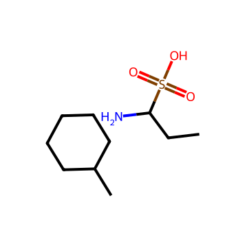 CC1CCCCC1.CCC(N)S(=O)(=O)O